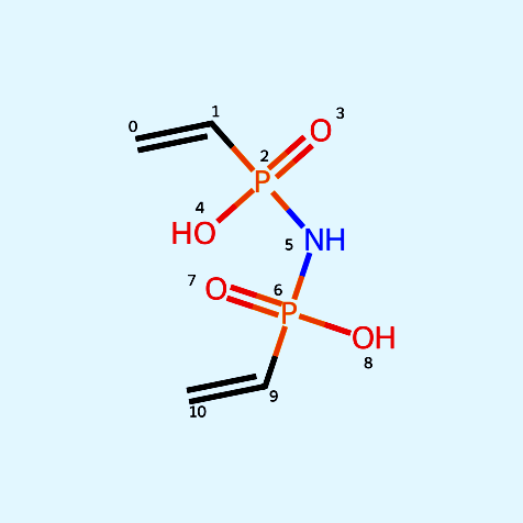 C=CP(=O)(O)NP(=O)(O)C=C